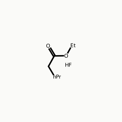 CCCCC(=O)OCC.F